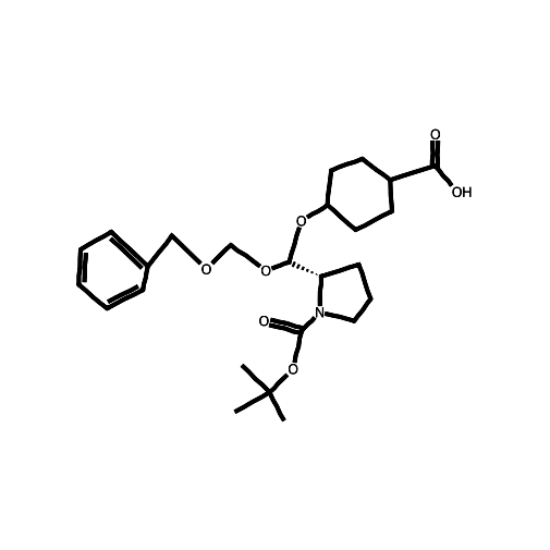 CC(C)(C)OC(=O)N1CCC[C@H]1C(OCOCc1ccccc1)OC1CCC(C(=O)O)CC1